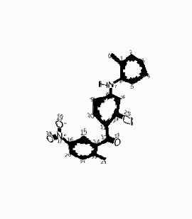 Cc1ccccc1Nc1ccc(C(=O)c2cc([N+](=O)[O-])ccc2C)c(Cl)c1